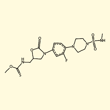 CNS(=O)(=O)N1CCN(c2ccc(N3CC(CNC(=S)OC)OC3=O)cc2F)CC1